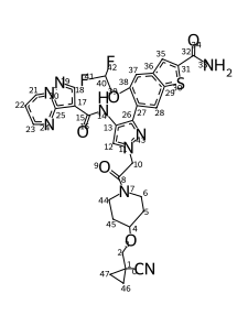 N#CC1(COC2CCN(C(=O)Cn3cc(NC(=O)c4cnn5cccnc45)c(-c4cc5sc(C(N)=O)cc5cc4OC(F)F)n3)CC2)CC1